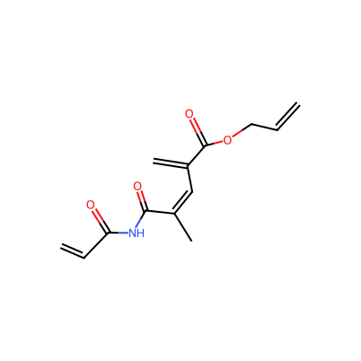 C=CCOC(=O)C(=C)C=C(C)C(=O)NC(=O)C=C